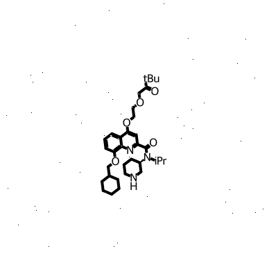 CC(C)N(C(=O)c1cc(OCCOCC(=O)C(C)(C)C)c2cccc(OCC3CCCCC3)c2n1)[C@@H]1CCCNC1